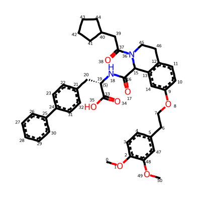 COc1ccc(CCOc2ccc3c(c2)C(C(=O)N[C@@H](Cc2ccc(-c4ccccc4)cc2)C(=O)O)N(C(=O)CC2CCCC2)CC3)cc1OC